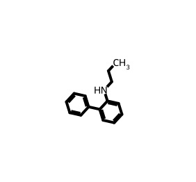 CCCNc1ccccc1-c1ccccc1